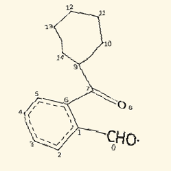 O=[C]c1ccccc1C(=O)C1CCCCC1